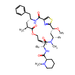 C=CCOC(=O)[C@@H](C)C[C@H](Cc1ccccc1)NC(=O)c1csc([C@@H](C[C@H](C(C)C)N(C)C(=O)[C@@H](NC(=O)[C@H]2CCCCN2C)[C@@H](C)CC)OCCC)n1